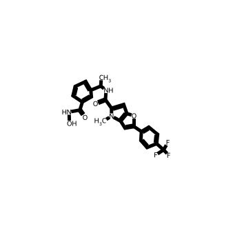 CC(NC(=O)c1cc2oc(-c3ccc(C(F)(F)F)cc3)cc2n1C)c1cccc(C(=O)NO)c1